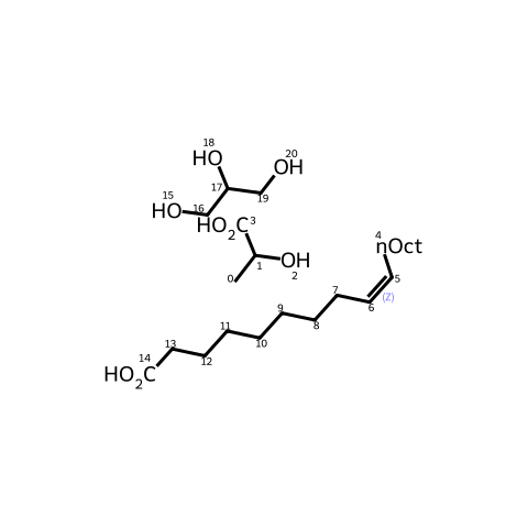 CC(O)C(=O)O.CCCCCCCC/C=C\CCCCCCCC(=O)O.OCC(O)CO